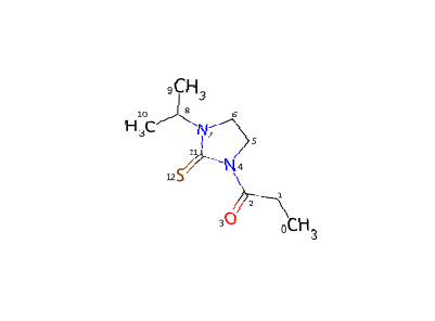 CCC(=O)N1CCN(C(C)C)C1=S